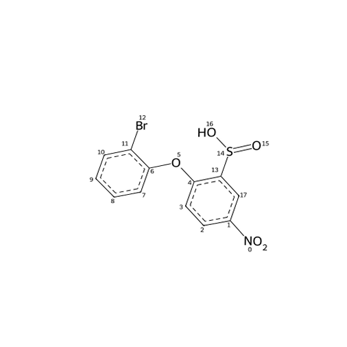 O=[N+]([O-])c1ccc(Oc2ccccc2Br)c(S(=O)O)c1